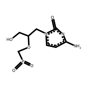 Nc1ccn(CC(CO)OCP(=O)=O)c(=O)n1